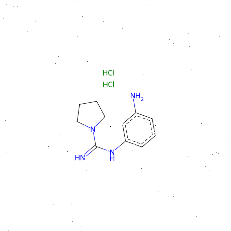 Cl.Cl.N=C(Nc1cccc(N)c1)N1CCCC1